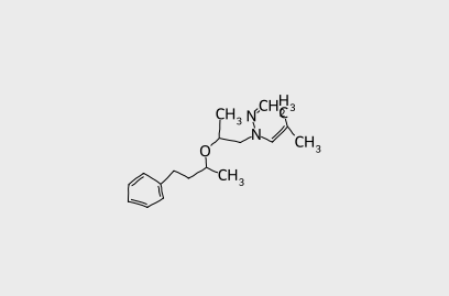 C=NN(C=C(C)C)CC(C)OC(C)CCc1ccccc1